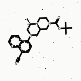 C[C@@H]1CN(c2ccc(C#N)c3ncccc23)CC2CN(C(=O)OC(C)(C)C)CCN21